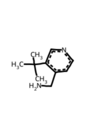 CC(C)(C)c1cnccc1CN